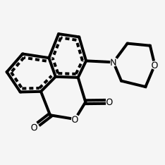 O=C1OC(=O)c2c(N3CCOCC3)ccc3cccc1c23